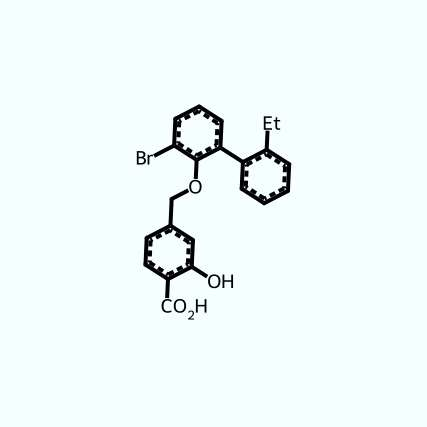 CCc1ccccc1-c1cccc(Br)c1OCc1ccc(C(=O)O)c(O)c1